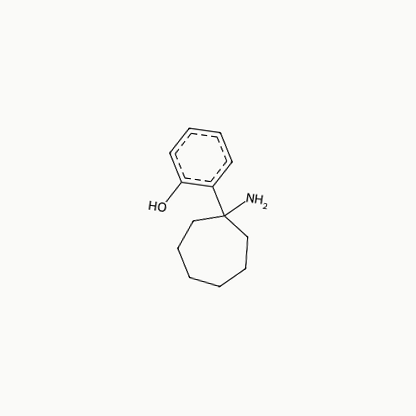 NC1(c2ccccc2O)CCCCCC1